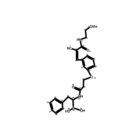 COCCNC(=O)C(C#N)=Cc1cccc(OCCC(=O)NC(Cc2ccccc2)B(O)O)c1